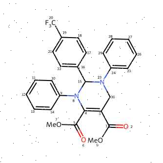 COC(=O)C1=C(C(=O)OC)N(c2ccccc2)C(c2ccc(C(F)(F)F)cc2)N(c2ccccc2)C1